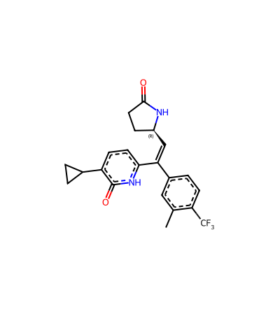 Cc1cc(C(=C[C@H]2CCC(=O)N2)c2ccc(C3CC3)c(=O)[nH]2)ccc1C(F)(F)F